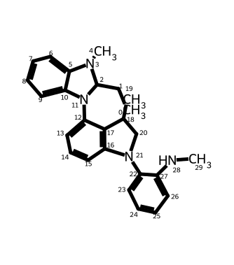 CCC1N(C)c2ccccc2N1c1cccc2c1C(C)CN2c1ccccc1NC